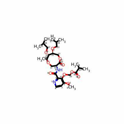 COc1ccnc(C(=O)N[C@H]2CO[C@@H](C)[C@H](OCC(C)C)[C@@H](OCC(C)C)COC2=O)c1OCOC(=O)C(C)C